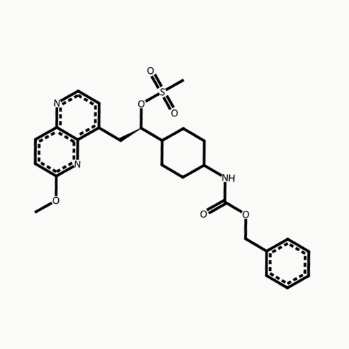 COc1ccc2nccc(C[C@@H](OS(C)(=O)=O)C3CCC(NC(=O)OCc4ccccc4)CC3)c2n1